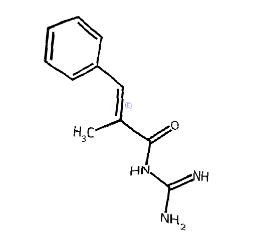 C/C(=C\c1ccccc1)C(=O)NC(=N)N